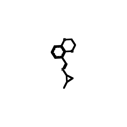 CC1CC1/N=C/c1cccc2c1OCCO2